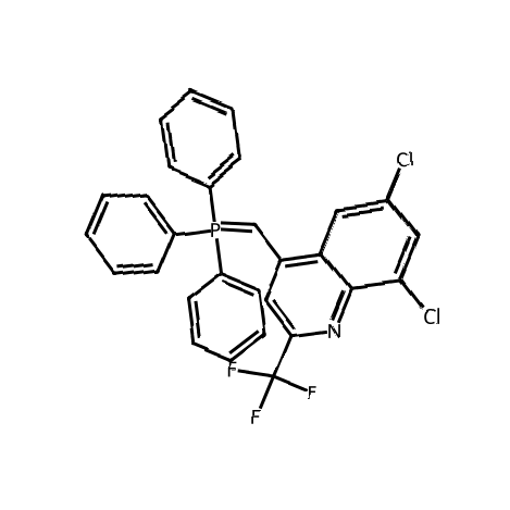 FC(F)(F)c1cc(C=P(c2ccccc2)(c2ccccc2)c2ccccc2)c2cc(Cl)cc(Cl)c2n1